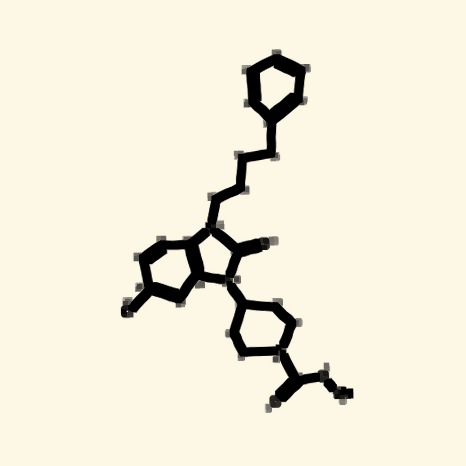 CC(C)(C)OC(=O)N1CCC(n2c(=O)n(CCCCc3ccccc3)c3ccc(Cl)cc32)CC1